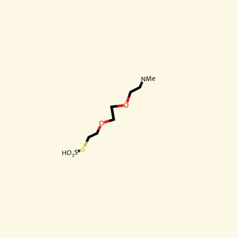 CNCCOCCOCCSS(=O)(=O)O